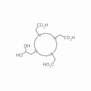 O=C(O)CN1CCN(CC(=O)O)CCN(CC(O)O)CCN(CC(=O)O)CC1